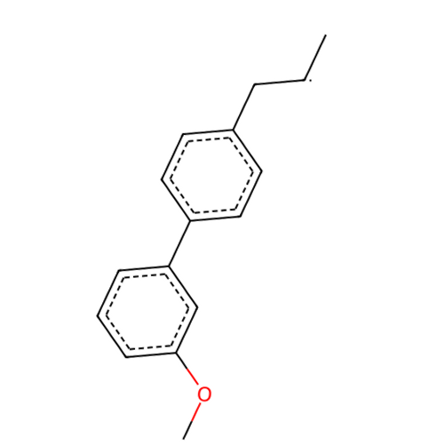 C[CH]Cc1ccc(-c2cccc(OC)c2)cc1